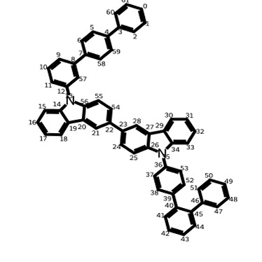 c1ccc(-c2ccc(-c3cccc(-n4c5ccccc5c5cc(-c6ccc7c(c6)c6ccccc6n7-c6ccc(-c7ccccc7-c7ccccc7)cc6)ccc54)c3)cc2)cc1